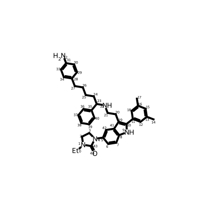 CCN1CCN(c2ccc3[nH]c(-c4cc(C)cc(C)c4)c(CCNC(CCCCc4ccc(N)cc4)c4ccccc4)c3c2)C1=O